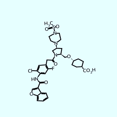 CS(=O)(=O)N1CCN([C@H]2C[C@@H](CO[C@H]3CC[C@H](C(=O)O)CC3)N(C(=O)Cc3cc(Cl)c(NC(=O)c4coc5ccccc45)cc3F)C2)CC1